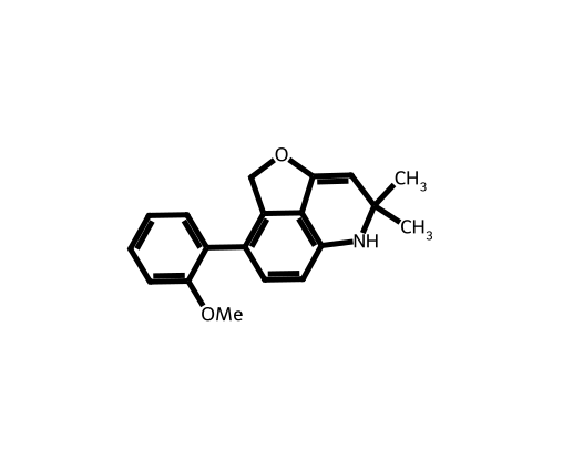 COc1ccccc1-c1ccc2c3c1COC3=CC(C)(C)N2